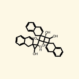 OC1C2(C=Cc3ccccc3C2)[C@]2(O)[C@](O)([C@]3(O)C(O)C34C=Cc3ccccc3C4)C3(C=Cc4ccccc4C3)[C@]12O